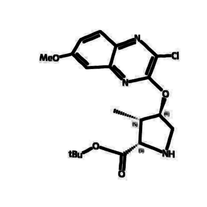 COc1ccc2nc(Cl)c(O[C@H]3CN[C@H](C(=O)OC(C)(C)C)[C@@H]3C)nc2c1